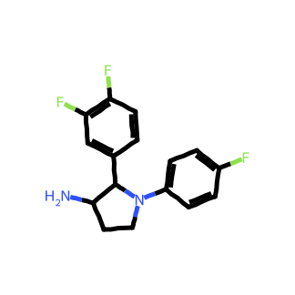 NC1CCN(c2ccc(F)cc2)C1c1ccc(F)c(F)c1